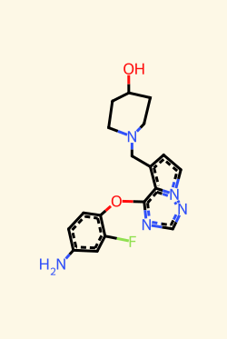 Nc1ccc(Oc2ncnn3ccc(CN4CCC(O)CC4)c23)c(F)c1